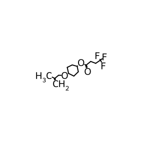 C=C(C)COC1CCC(OC(=O)CCC(F)(F)F)CC1